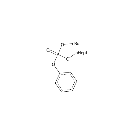 CCCCCCCOP(=O)(OCCCC)Oc1ccccc1